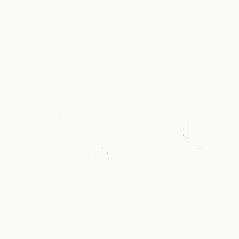 CC(=O)Nc1ccc(Cn2ccc(OCc3ccccc3)cc2=O)cc1